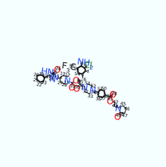 Nc1c(Cl)cc(C[C@@H](OC(=O)N2CCC(n3nc(-c4ccccc4)[nH]c3=O)CC2)C(=O)N2CCN(c3ccc(C(=O)OCCN4CCCC4=O)cc3)CC2)cc1C(F)(F)F